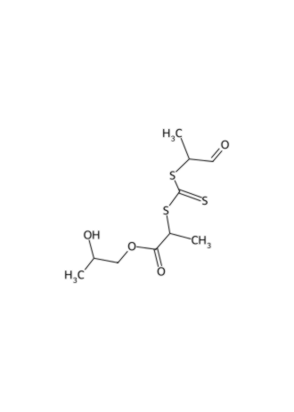 CC(O)COC(=O)C(C)SC(=S)SC(C)C=O